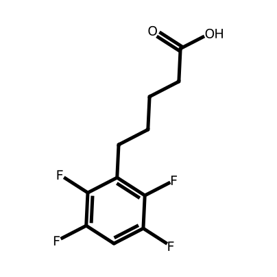 O=C(O)CCCCc1c(F)c(F)cc(F)c1F